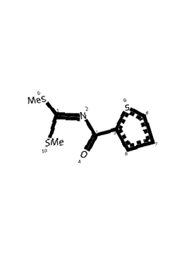 CSC(=NC(=O)c1cccs1)SC